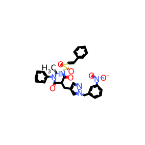 CCN(C(=O)C(Cc1cnn(Cc2cccc([N+](=O)[O-])c2)c1)C(=O)NS(=O)(=O)/C=C/c1ccccc1)c1ccccc1